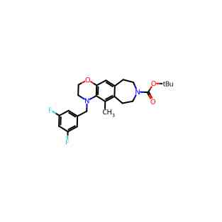 Cc1c2c(cc3c1N(Cc1cc(F)cc(F)c1)CCO3)CCN(C(=O)OC(C)(C)C)CC2